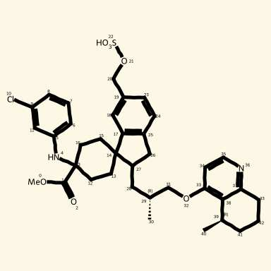 COC(=O)C1(Nc2cccc(Cl)c2)CCC2(CC1)c1cc(COS(=O)(=O)O)ccc1CC2C[C@@H](C)COc1ccnc2c1[C@H](C)CCC2